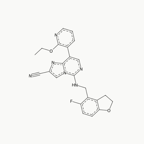 CCOc1ncccc1-c1cnc(NCc2c(F)ccc3c2CCO3)n2cc(C#N)nc12